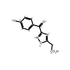 O=C(O)Cc1nc(C(=O)c2ccc(F)cc2)no1